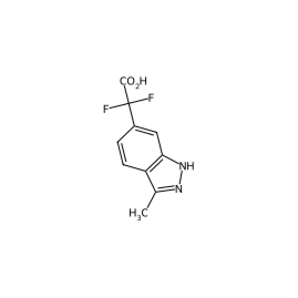 Cc1n[nH]c2cc(C(F)(F)C(=O)O)ccc12